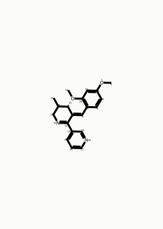 COc1ccc(/C=C2\CC(C)CN=C2c2cccnc2)c(OC)c1